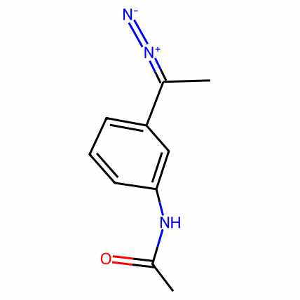 CC(=O)Nc1cccc(C(C)=[N+]=[N-])c1